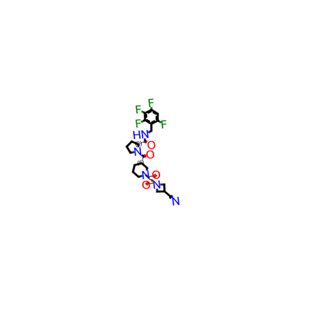 N#CC1CN(S(=O)(=O)N2CCC[C@H](C(=O)N3CCC[C@@H]3C(=O)NCc3c(F)cc(F)c(F)c3F)C2)C1